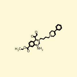 CCOC(=O)c1ccc2c(c1)N(N)CN(CCCCN1CC=C(c3ccccc3)CC1)C2C(=O)C=O